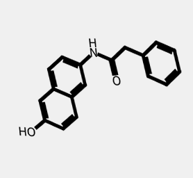 O=C(Cc1ccccc1)Nc1ccc2cc(O)ccc2c1